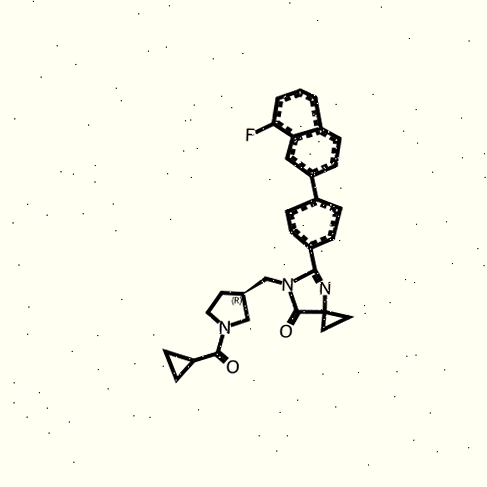 O=C(C1CC1)N1CC[C@@H](CN2C(=O)C3(CC3)N=C2c2ccc(-c3ccc4cccc(F)c4c3)cc2)C1